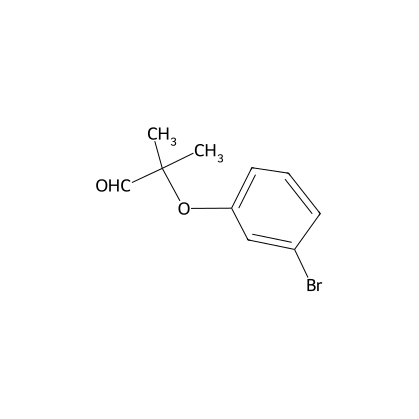 CC(C)(C=O)Oc1cccc(Br)c1